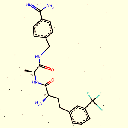 C[C@H](NC(=O)[C@H](N)CCc1cccc(C(F)(F)F)c1)C(=O)NCc1ccc(C(=N)N)cc1